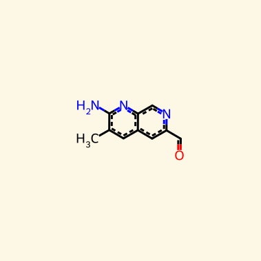 Cc1cc2cc(C=O)ncc2nc1N